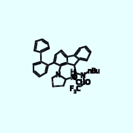 CCCCN(CC(F)(F)F)C(=O)C1c2ccccc2-c2ccc(-c3ccccc3-c3ccccc3)c(N3CCCC3NC=O)c21